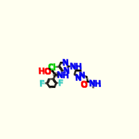 CNC(=O)Cn1cc(Nc2ncc(Cl)c(N[C@H](CO)c3cc(F)ccc3F)n2)cn1